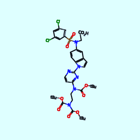 CC(C)(C)OC(=O)N(CCN(C(=O)OC(C)(C)C)c1ccnc(-n2ccc3cc(N(CC(=O)O)S(=O)(=O)c4cc(Cl)cc(Cl)c4)ccc32)n1)C(=O)OC(C)(C)C